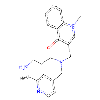 COc1cc(CN(CCCN)Cc2cn(C)c3ccccc3c2=O)ccn1